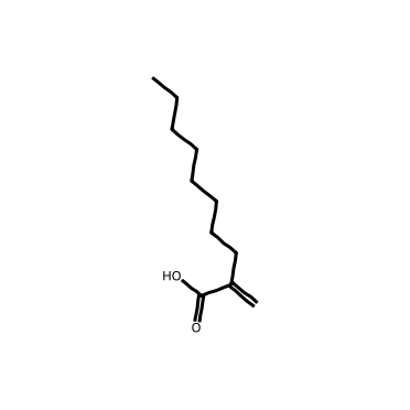 C=C(CCCCCCCC)C(=O)O